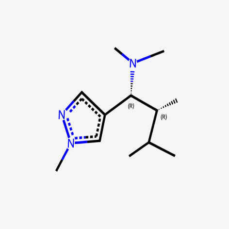 CC(C)[C@@H](C)[C@H](c1cnn(C)c1)N(C)C